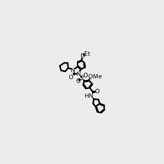 CCOc1ccc2c(c1)n(C1CCCCC1)c(=O)n2S(=O)(=O)c1ccc(C(=O)NC2Cc3ccccc3C2)cc1OC